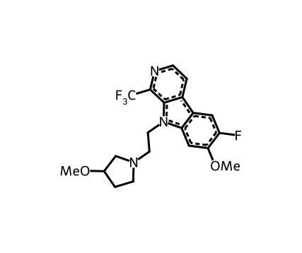 COc1cc2c(cc1F)c1ccnc(C(F)(F)F)c1n2CCN1CCC(OC)C1